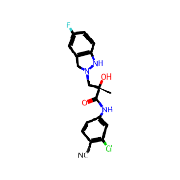 C[C@](O)(CN1Cc2cc(F)ccc2N1)C(=O)Nc1ccc(C#N)c(Cl)c1